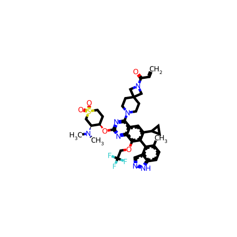 C=CC(=O)N1CC2(CCN(c3nc(O[C@@H]4CCS(=O)(=O)C[C@H]4N(C)C)nc4c(OCC(F)(F)F)c(-c5c(C)ccc6[nH]ncc56)c(C5CC5)cc34)CC2)C1